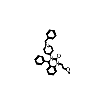 COCCN1C(=O)N(C2CCN(Cc3ccccc3)CC2)C(c2ccccc2)c2ccccc21